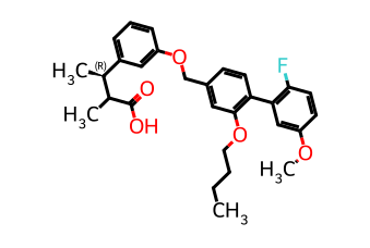 CCCCOc1cc(COc2cccc([C@H](C)C(C)C(=O)O)c2)ccc1-c1cc(OC)ccc1F